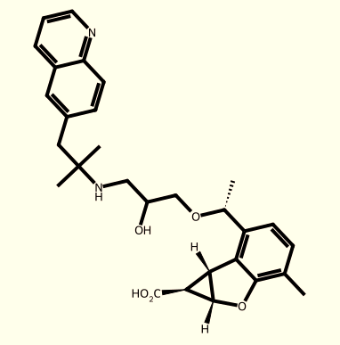 Cc1ccc([C@@H](C)OCC(O)CNC(C)(C)Cc2ccc3ncccc3c2)c2c1O[C@@H]1[C@@H](C(=O)O)[C@H]21